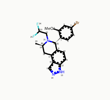 COc1cc(Br)ccc1[C@@H]1c2ccc3[nH]ncc3c2C[C@@H](C)N1CC(F)F